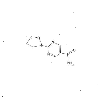 NC(=O)c1cnc(N2CCCO2)nc1